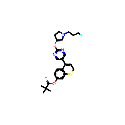 CC(C)(C)C(=O)Oc1ccc2c(c1)SCC=C2c1cnc(O[C@H]2CCN(CCCF)C2)nc1